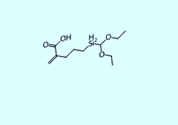 C=C(CCC[SiH2]C(OCC)OCC)C(=O)O